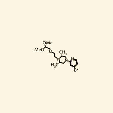 COC(COCCN1[C@H](C)CN(c2cc(Br)ccn2)C[C@@H]1C)OC